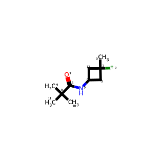 CC1(F)CC(NC(=O)C(C)(C)C)C1